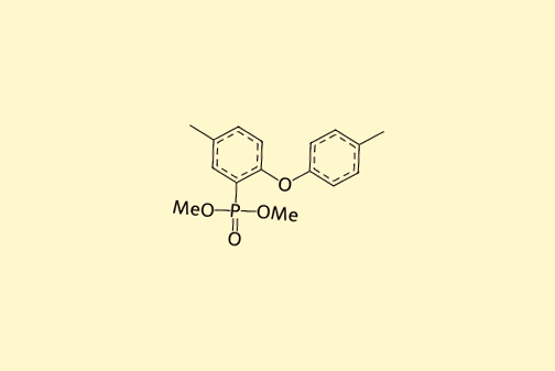 COP(=O)(OC)c1cc(C)ccc1Oc1ccc(C)cc1